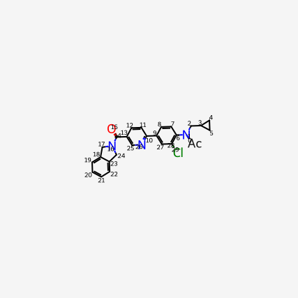 CC(=O)N(CC1CC1)c1ccc(-c2ccc(C(=O)N3Cc4ccccc4C3)cn2)cc1Cl